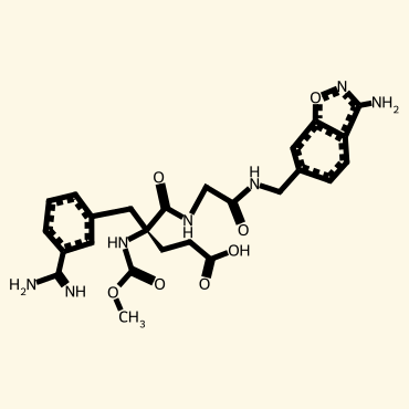 COC(=O)N[C@](CCC(=O)O)(Cc1cccc(C(=N)N)c1)C(=O)NCC(=O)NCc1ccc2c(N)noc2c1